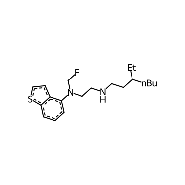 CCCCC(CC)CCNCCN(CF)c1cccc2sccc12